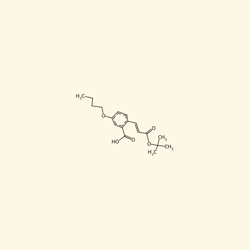 CCCCOc1ccc(/C=C/C(=O)OC(C)(C)C)c(C(=O)O)c1